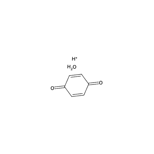 O.O=C1C=CC(=O)C=C1.[H+]